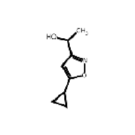 CC(O)c1cc(C2CC2)on1